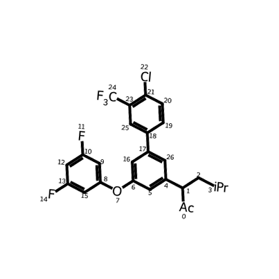 CC(=O)C(CC(C)C)c1cc(Oc2cc(F)cc(F)c2)cc(-c2ccc(Cl)c(C(F)(F)F)c2)c1